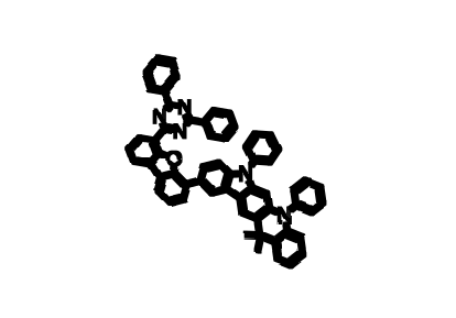 CC1(C)c2ccccc2N(c2ccccc2)c2cc3c(cc21)c1cc(-c2cccc4c2oc2c(-c5nc(-c6ccccc6)nc(-c6ccccc6)n5)cccc24)ccc1n3-c1ccccc1